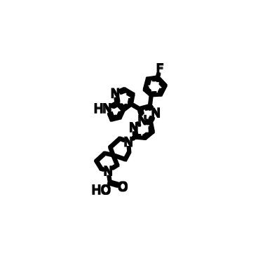 O=C(O)N1CCCC2(CCN(c3ccc4nc(-c5ccc(F)cc5)c(-c5ccnc6[nH]ccc56)n4n3)CC2)C1